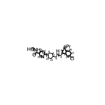 CCCn1cc(CNCC2CCN(c3ncc(C(=O)NO)cn3)CC2)c2cc(Cl)ccc21